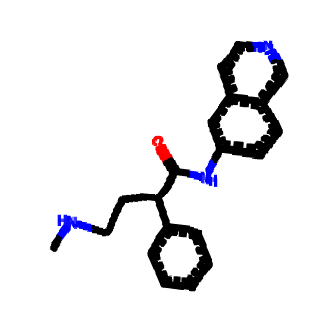 CNCCC(C(=O)Nc1ccc2cnccc2c1)c1ccccc1